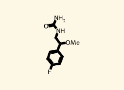 COC(CNC(N)=O)c1ccc(F)cc1